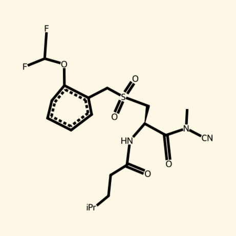 CC(C)CCC(=O)N[C@@H](CS(=O)(=O)Cc1ccccc1OC(F)F)C(=O)N(C)C#N